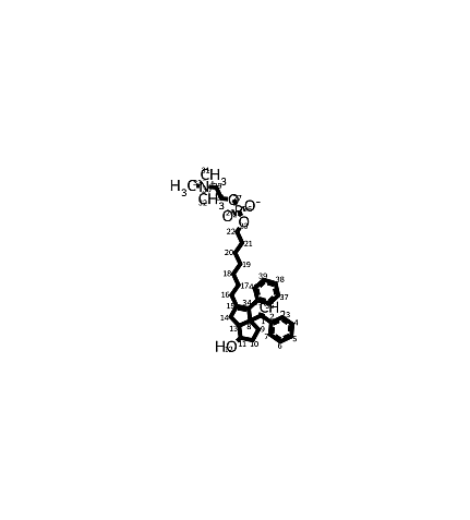 C=C(c1ccccc1)C12CCC(O)C1CC(CCCCCCCOP(=O)([O-])OCC[N+](C)(C)C)=C2c1ccccc1